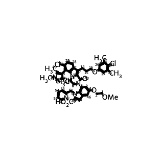 COCCOc1cc(N2CC(C)n3c(c(CCCOc4cc(C)c(Cl)c(C)c4)c4ccc(Cl)c(-c5c(C)nn(C)c5C)c43)C2=O)c2c(c1)cc(C(=O)O)n2Cc1ccccn1